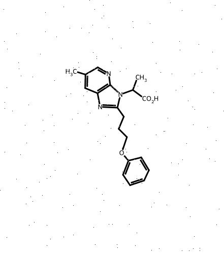 Cc1cnc2c(c1)nc(CCCOc1ccccc1)n2C(C)C(=O)O